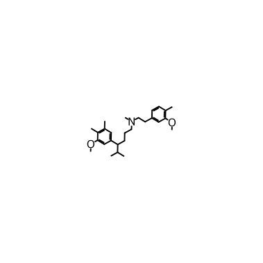 COc1cc(CCN(C)CCCC(c2cc(C)c(C)c(OC)c2)C(C)C)ccc1C